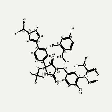 C=NN(/C(=N\C)C(F)F)c1cc([C@@H](COc2ccc(F)cc2F)N2C(=N)N[C@](CC(C)(C)C)(c3ccc(-c4cnn(C(F)F)c4)cc3)C2=O)ccc1Cl